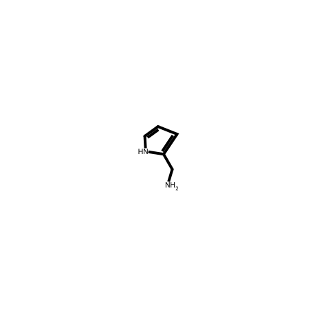 NCc1ccc[nH]1